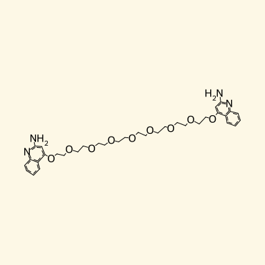 Nc1cc(OCCOCCOCCOCCOCCOCCOCCOCCOc2cc(N)nc3ccccc23)c2ccccc2n1